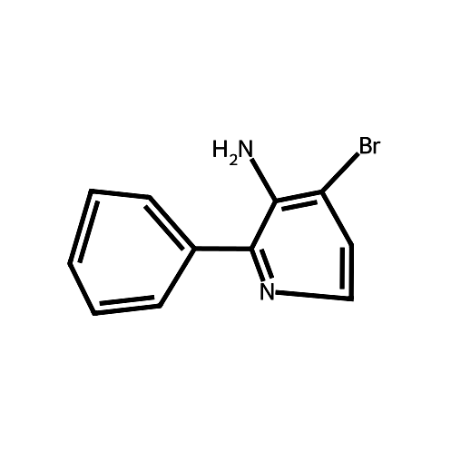 Nc1c(Br)ccnc1-c1ccccc1